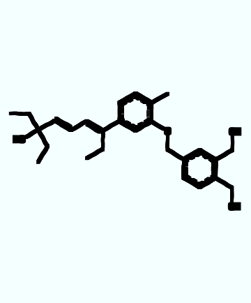 CC/C(=C\C=C\C(O)(CC)CC)c1ccc(C)c(OCc2ccc(CO)c(CO)c2)c1